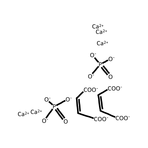 O=C([O-])/C=C\C(=O)[O-].O=C([O-])/C=C\C(=O)[O-].O=P([O-])([O-])[O-].O=P([O-])([O-])[O-].[Ca+2].[Ca+2].[Ca+2].[Ca+2].[Ca+2]